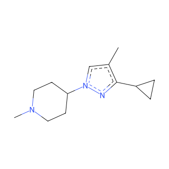 Cc1cn(C2CCN(C)CC2)nc1C1CC1